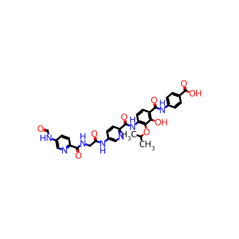 CC(C)Oc1c(NC(=O)c2ccc(NC(=O)CNC(=O)c3ccc(NC=O)cn3)cn2)ccc(C(=O)Nc2ccc(C(=O)O)cc2)c1O